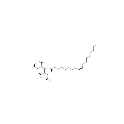 CCCCCCCC/C=C\CCCCCCCC(=O)OC(C(CC(=O)O)C(=O)O)C(CC(=O)O)C(=O)O